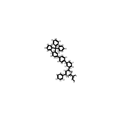 C/C=C(\C)c1nc(-c2ccccc2)cc(-c2cccc(-c3ccc(-c4ccc5c(c4)C(c4ccccc4)(c4ccccc4)c4ccccc4-5)cc3)c2)n1